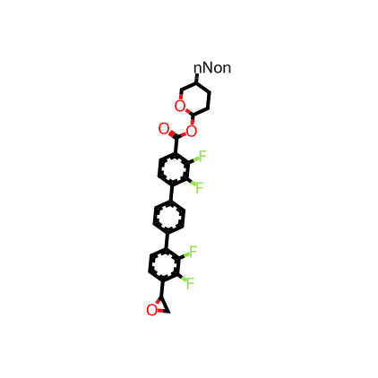 CCCCCCCCCC1CCC(OC(=O)c2ccc(-c3ccc(-c4ccc(C5CO5)c(F)c4F)cc3)c(F)c2F)OC1